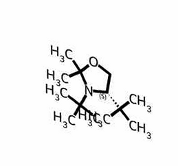 CC(C)(C)[C@H]1COC(C)(C)N1C(C)(C)C